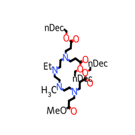 CCCCCCCCCCCOC(=O)CCN(CCC(=O)OC)CCN(C)CCN(CC)CCN(CCC(=O)OCCCCCCCCCCC)CCC(=O)OCCCCCCCCCCC